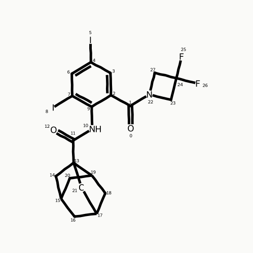 O=C(c1cc(I)cc(I)c1NC(=O)C12CC3CC(CC1C3)C2)N1CC(F)(F)C1